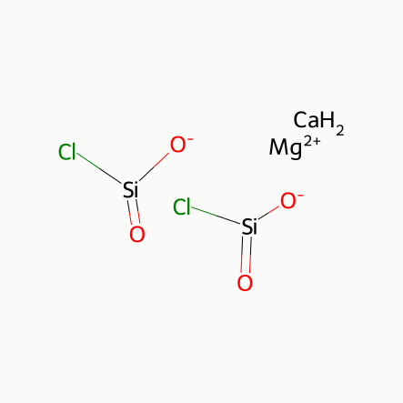 O=[Si]([O-])Cl.O=[Si]([O-])Cl.[CaH2].[Mg+2]